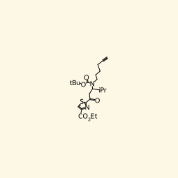 C#CCCCCN(C(=O)OC(C)(C)C)C(CC(=O)c1nc(C(=O)OCC)cs1)C(C)C